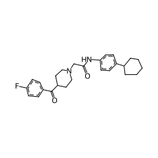 O=C(CN1CCC(C(=O)c2ccc(F)cc2)CC1)Nc1ccc(C2CCCCC2)cc1